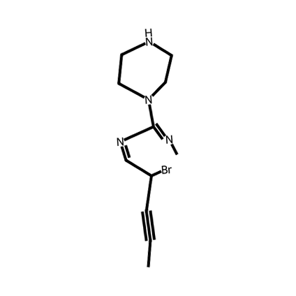 CC#CC(Br)/C=N\C(=N/C)N1CCNCC1